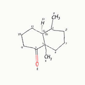 CC1CCCC2(C)C(=O)CCC[C@@H]12